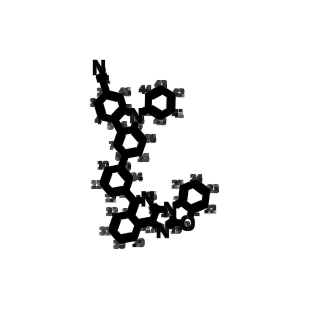 N#Cc1ccc2c3cc(-c4cccc(-c5nc6c(nc7oc8ccccc8n76)c6ccccc56)c4)ccc3n(-c3ccccc3)c2c1